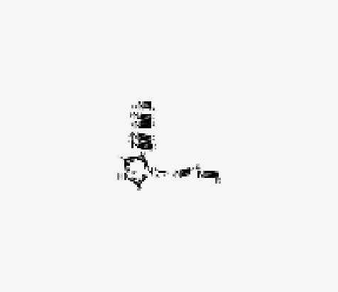 C#N.C#N.C#N.C#N.C#N.C#N.C#N.C[n+]1cc[nH]c1